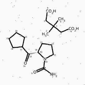 CC(C)(CC(=O)O)CC(=O)O.NC(=O)N1CCC[C@H]1C(=O)C1CCCC1